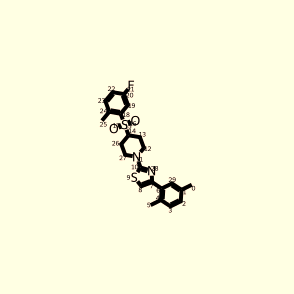 Cc1ccc(C)c(-c2csc(N3CCC(S(=O)(=O)c4cc(F)ccc4C)CC3)n2)c1